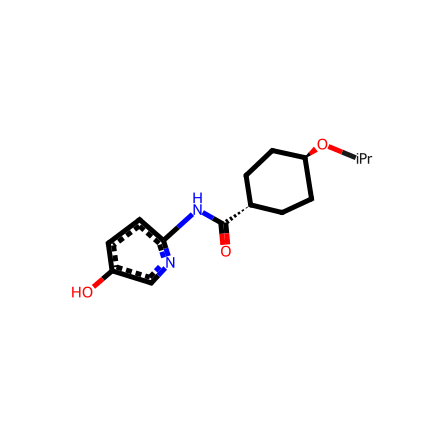 CC(C)O[C@H]1CC[C@H](C(=O)Nc2ccc(O)cn2)CC1